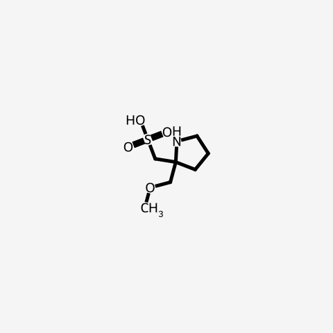 COCC1(CS(=O)(=O)O)CCCN1